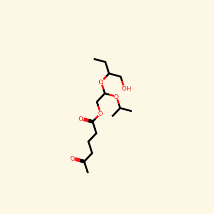 CCC(CO)OC(COC(=O)CCCC(C)=O)OC(C)C